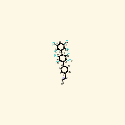 C/C=C/c1ccc(-c2c(F)c(F)c(-c3c(F)c(F)cc(F)c3F)c(F)c2F)cc1